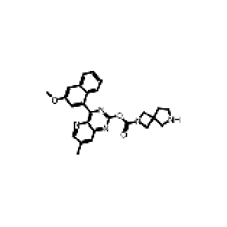 COc1cc(-c2nc(OC(=O)N3CC4(CCNC4)C3)nc3cc(C)cnc23)c2ccccc2c1